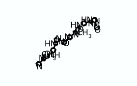 Cn1nc(-c2cccnc2)cc1CC(=O)Nc1ccc(-c2cc3c(N4CCOC(c5ccc(-c6cc(CC(=O)Nc7ccc(-c8nc9c(N%10CCOCC%10)nccc9[nH]8)cc7)n(C)n6)cn5)C4)nccc3[nH]2)cc1